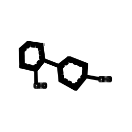 O=Cc1ccc(-c2[c]cccc2C=O)cc1